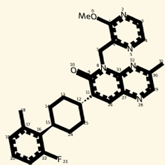 COc1nccnc1Cn1c(=O)c([C@H]2CC[C@H](c3c(C)cccc3F)CC2)cc2ncc(C)nc21